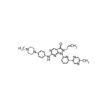 C=CCn1c(=O)c2cnc(Nc3ccc(N4CCN(C)CC4)cc3)nc2n1-c1cccc(-c2cnc(C)cn2)n1